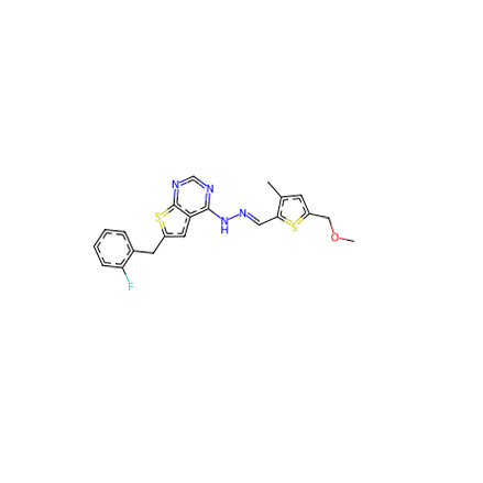 COCc1cc(C)c(C=NNc2ncnc3sc(Cc4ccccc4F)cc23)s1